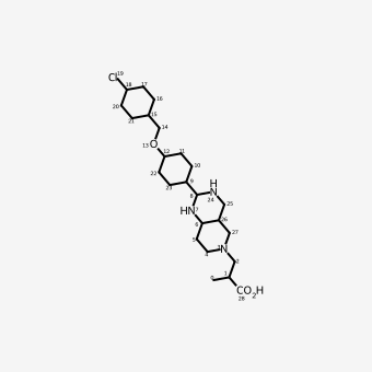 CC(CN1CCC2NC(C3CCC(OCC4CCC(Cl)CC4)CC3)NCC2C1)C(=O)O